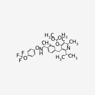 COC(=O)Oc1c(C)c(C)nc(C(C)C)c1Cc1ccc(C(C)NOc2ccc(OC(F)(F)F)cc2)cc1